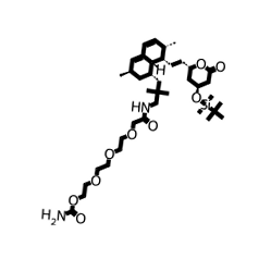 C[C@H]1C=C2C=C[C@H](C)[C@H](CC[C@H]3C[C@H](O[Si](C)(C)C(C)(C)C)CC(=O)O3)[C@H]2[C@H](CC(C)(C)CNC(=O)COCCOCCOCCOC(N)=O)C1